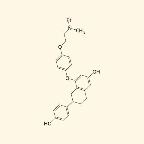 CCN(C)CCOc1ccc(Oc2cc(O)cc3c2CC(c2ccc(O)cc2)CC3)cc1